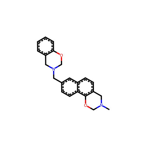 CN1COc2c(ccc3cc(CN4COc5ccccc5C4)ccc23)C1